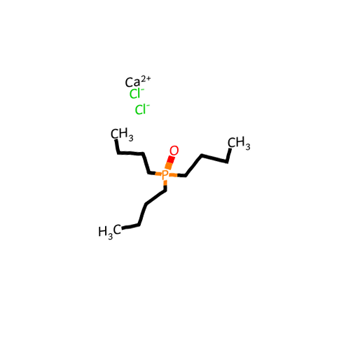 CCCCP(=O)(CCCC)CCCC.[Ca+2].[Cl-].[Cl-]